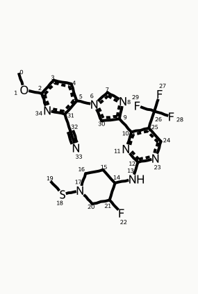 COc1ccc(-n2cnc(-c3nc(NC4CCN(SC)CC4F)ncc3C(F)(F)F)c2)c(C#N)n1